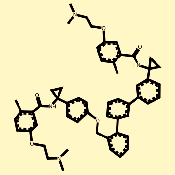 Cc1ccc(OCCN(C)C)cc1C(=O)NC1(c2ccc(OCc3ccccc3-c3cccc(-c4cccc(C5(NC(=O)c6cc(OCCN(C)C)ccc6C)CC5)c4)c3)cc2)CC1